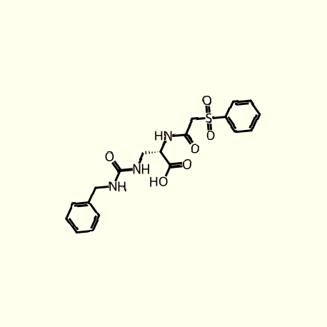 O=C(CS(=O)(=O)c1ccccc1)N[C@@H](CNC(=O)NCc1ccccc1)C(=O)O